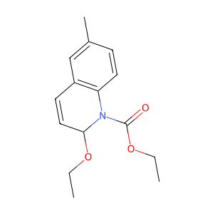 CCOC(=O)N1c2ccc(C)cc2C=CC1OCC